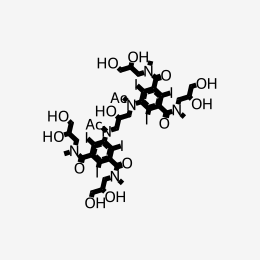 CC(=O)N(CC(O)CN(C(C)=O)c1c(I)c(C(=O)N(C)CC(O)CO)c(I)c(C(=O)N(C)CC(O)CO)c1I)c1c(I)c(C(=O)N(C)CC(O)CO)c(I)c(C(=O)N(C)CC(O)CO)c1I